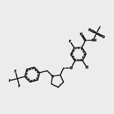 CS(=O)(=O)NC(=O)c1cc(Cl)c(OCC2CCCN2Cc2ccc(C(F)(F)F)cc2)cc1F